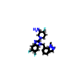 Cn1ncc2cccc(Cn3c(N4CCC(F)C(N)C4)nc4cc(F)c(F)cc43)c21